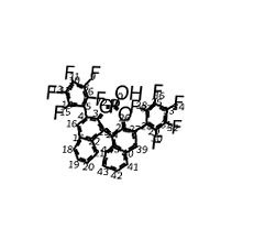 Op1oc2c(-c3c(F)c(F)c(F)c(F)c3F)cc3ccccc3c2c2c(o1)c(-c1c(F)c(F)c(F)c(F)c1F)cc1ccccc12